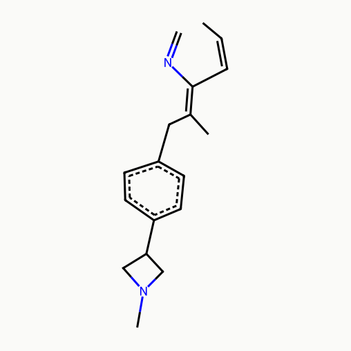 C=NC(/C=C\C)=C(/C)Cc1ccc(C2CN(C)C2)cc1